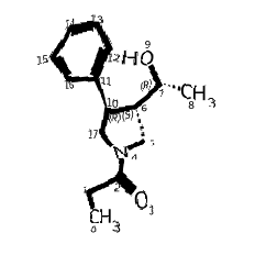 CCC(=O)N1C[C@@H]([C@@H](C)O)[C@H](c2ccccc2)C1